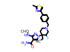 Cc1nc(-c2ccc(CN3CCC(CC#N)(n4cc(C(N)=O)c(NC=O)n4)C(F)C3)cc2)cs1